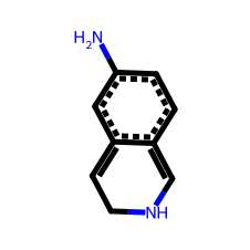 Nc1ccc2c(c1)=CCNC=2